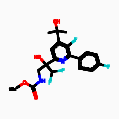 CC(C)(C)OC(=O)NCC(O)(c1cc(C(C)(C)O)c(F)c(-c2ccc(F)cc2)n1)C(F)F